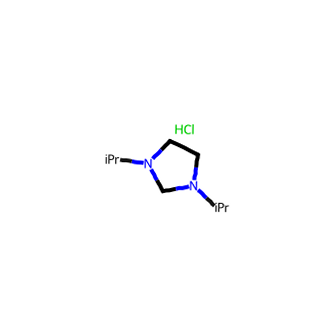 CC(C)N1CCN(C(C)C)C1.Cl